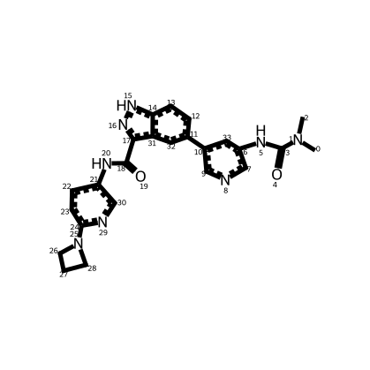 CN(C)C(=O)Nc1cncc(-c2ccc3[nH]nc(C(=O)Nc4ccc(N5CCC5)nc4)c3c2)c1